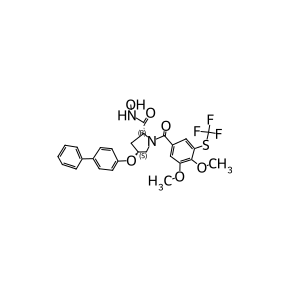 COc1cc(C(=O)N2C[C@@H](Oc3ccc(-c4ccccc4)cc3)C[C@@H]2C(=O)NO)cc(SC(F)(F)F)c1OC